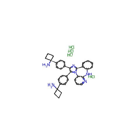 Cl.Cl.Cl.Cl.NC1(c2ccc(-c3nc4n(c3-c3ccc(C5(N)CCC5)cc3)-c3cccnc3Nc3ccccc3-4)cc2)CCC1